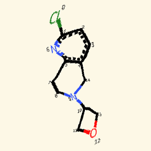 Clc1ccc2c(n1)CCN(C1COC1)C2